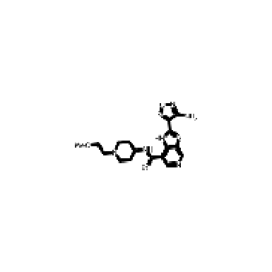 CCC(NC1CCN(CCOC)CC1)c1cncc2nc(-c3nonc3N)[nH]c12